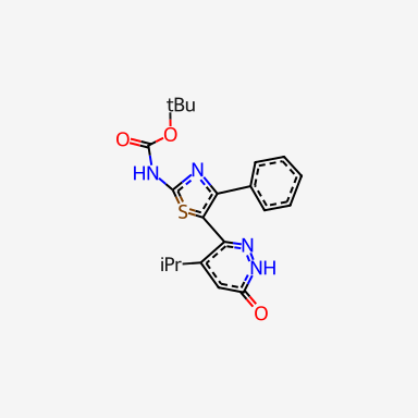 CC(C)c1cc(=O)[nH]nc1-c1sc(NC(=O)OC(C)(C)C)nc1-c1ccccc1